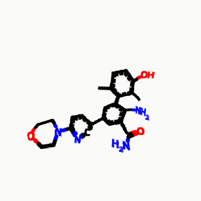 Cc1ccc(O)c(C)c1-c1cc(-c2ccc(N3CCOCC3)nc2)cc(C(N)=O)c1N